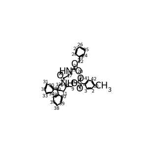 Cc1ccc(S(=O)(=O)OCCCC(CNC(=O)CNC(=O)OCc2ccccc2)(c2ccccc2)c2ccccc2)cc1